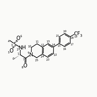 C[C@H](NS(C)(=O)=O)C(=O)N1CCc2cc(-c3ccc(C(F)(F)F)cc3)ccc2C1